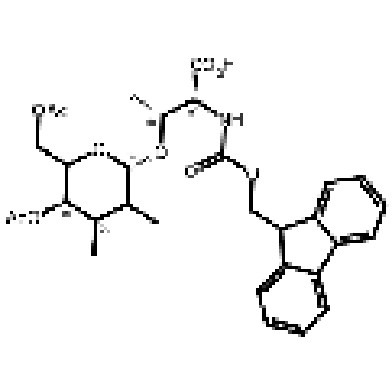 CC(=O)OCC1O[C@H](O[C@H](C)[C@H](NC(=O)OCC2c3ccccc3-c3ccccc32)C(=O)O)C(C)[C@@H](C)[C@H]1OC(C)=O